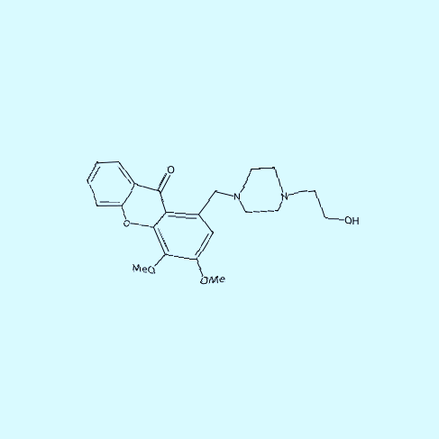 COc1cc(CN2CCN(CCO)CC2)c2c(=O)c3ccccc3oc2c1OC